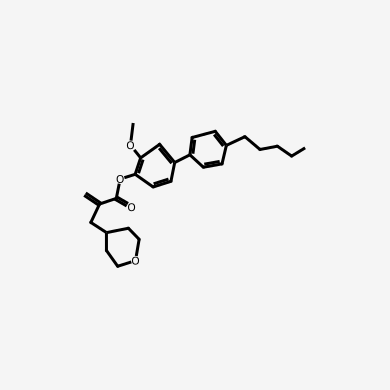 C=C(CC1CCOCC1)C(=O)Oc1ccc(-c2ccc(CCCCC)cc2)cc1OC